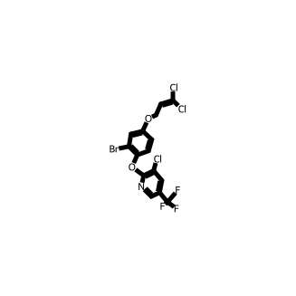 FC(F)(F)c1cnc(Oc2ccc(OCC=C(Cl)Cl)cc2Br)c(Cl)c1